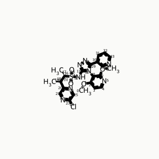 COc1ccnc(OC)c1-n1c(NS(=O)(=O)[C@@H](C)[C@H](C)c2cnc(Cl)cn2)nnc1-c1cccnc1